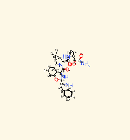 CCCC(NC(=O)C1C2C(CN1C(=O)C(NC(=O)C1Cc3ccccc3N1)C1CCCCC1)C2(C)C)C(=O)C(N)=O